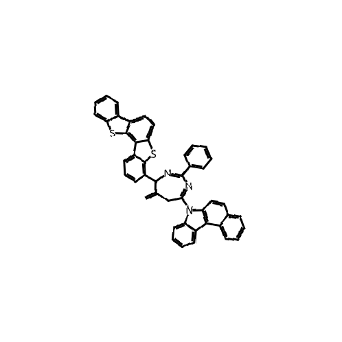 C=C1CC(n2c3ccccc3c3c4ccccc4ccc32)=NC(c2ccccc2)=NC1c1cccc2c1sc1ccc3c4ccccc4sc3c12